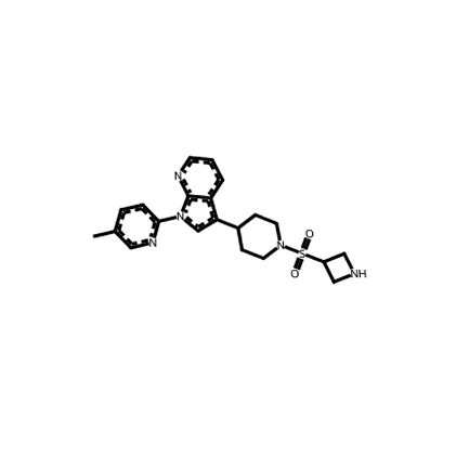 Cc1ccc(-n2cc(C3CCN(S(=O)(=O)C4CNC4)CC3)c3cccnc32)nc1